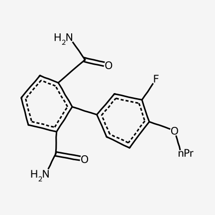 CCCOc1ccc(-c2c(C(N)=O)cccc2C(N)=O)cc1F